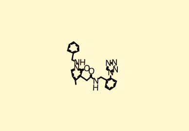 Cc1ccn(NCc2ccccc2)c(=O)c1CC(=O)NCc1ccccc1-n1cnnn1